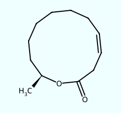 C[C@H]1CCCCCC/C=C\CC(=O)O1